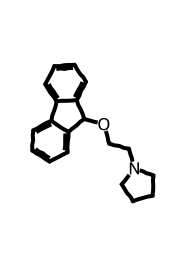 c1ccc2c(c1)-c1ccccc1C2OCCN1CCCC1